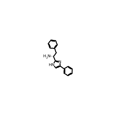 N[C@H](Cc1ccccc1)c1nc(-c2ccccc2)c[nH]1